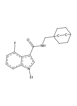 CCn1cc(C(=O)NCC23CCC(CC2)CC3)c2c(F)cccc21